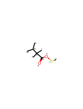 CSOC(=O)C(C)(C)C(C)C